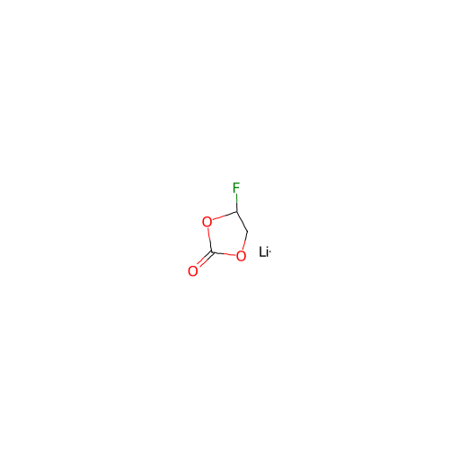 O=C1OCC(F)O1.[Li]